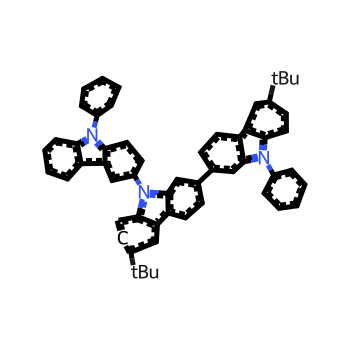 CC(C)(C)c1ccc2c(c1)c1ccc(-c3ccc4c5cc(C(C)(C)C)ccc5n(-c5ccc6c(c5)c5ccccc5n6-c5ccccc5)c4c3)cc1n2-c1ccccc1